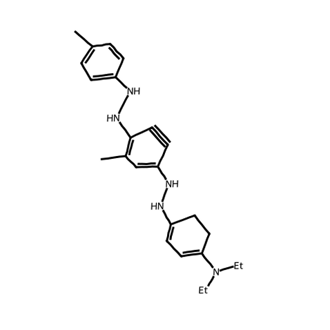 CCN(CC)C1=CC=C(NNc2c#cc(NNc3ccc(C)cc3)c(C)c2)CC1